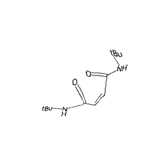 CC(C)(C)NC(=O)/C=C\C(=O)NC(C)(C)C